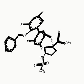 CS(=O)(=O)N[C@H]1CC[C@](Cc2cc(-c3cc(F)cc(F)c3OCc3ccccc3)c(F)cc2F)(C(N)=O)C1